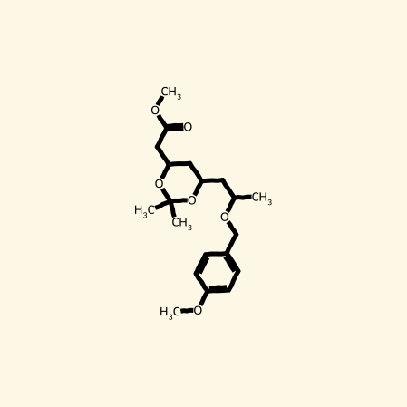 COC(=O)CC1CC(CC(C)OCc2ccc(OC)cc2)OC(C)(C)O1